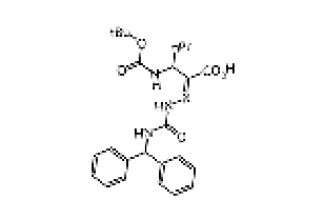 CCCC(NC(=O)OC(C)(C)C)C(=NNC(=O)NC(c1ccccc1)c1ccccc1)C(=O)O